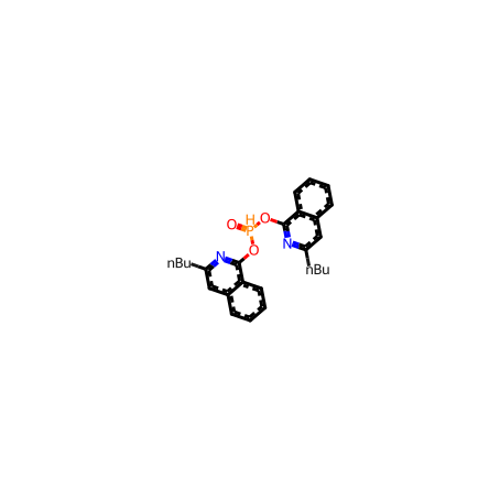 CCCCc1cc2ccccc2c(O[PH](=O)Oc2nc(CCCC)cc3ccccc23)n1